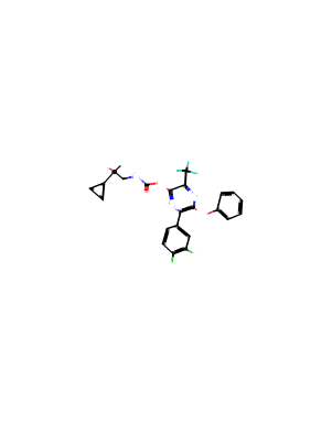 CC(O)(CNC(=O)Oc1nc(-c2ccc(Cl)c(Cl)c2)c(Oc2ccccc2)nc1C(F)(F)F)C1CC1